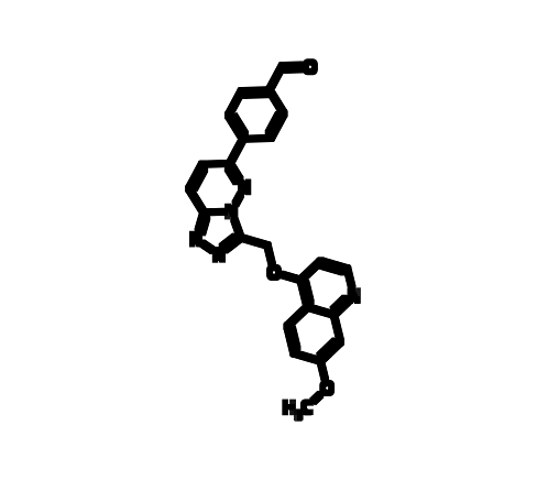 COc1ccc2c(OCc3nnc4ccc(-c5ccc(C=O)cc5)nn34)ccnc2c1